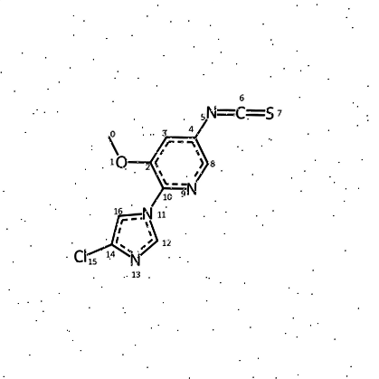 COc1cc(N=C=S)cnc1-n1cnc(Cl)c1